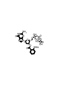 CNc1ccccc1C(=O)O[C@H]1C[C@H](n2cnc3c(=O)[nH]c(N)nc32)O[C@@H]1COP(=O)(O)OP(=O)(O)OP(=O)(O)O